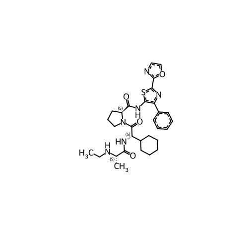 CCN[C@@H](C)C(=O)N[C@H](C(=O)N1CCC[C@H]1C(=O)Nc1sc(-c2ncco2)nc1-c1ccccc1)C1CCCCC1